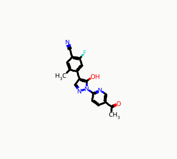 CC(=O)c1ccc(-n2ncc(-c3cc(F)c(C#N)cc3C)c2O)nc1